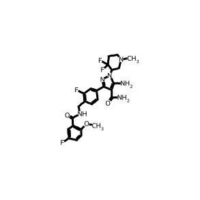 COc1ccc(F)cc1C(=O)NCc1ccc(-c2nn(C3CN(C)CCC3(F)F)c(N)c2C(N)=O)cc1F